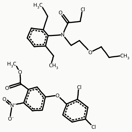 CCCOCCN(C(=O)CCl)c1c(CC)cccc1CC.COC(=O)c1cc(Oc2ccc(Cl)cc2Cl)ccc1[N+](=O)[O-]